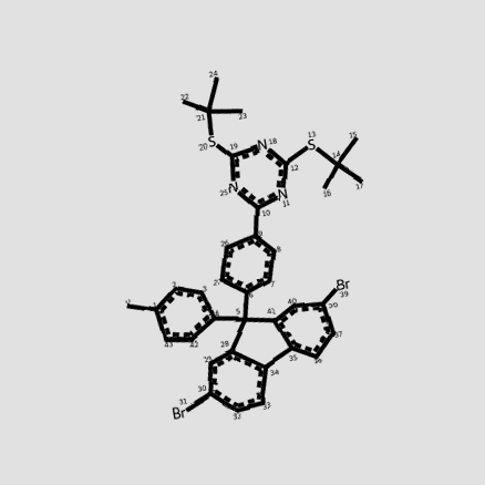 Cc1ccc(C2(c3ccc(-c4nc(SC(C)(C)C)nc(SC(C)(C)C)n4)cc3)c3cc(Br)ccc3-c3ccc(Br)cc32)cc1